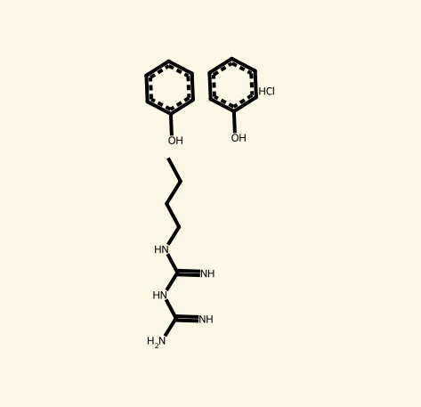 CCCCNC(=N)NC(=N)N.Cl.Oc1ccccc1.Oc1ccccc1